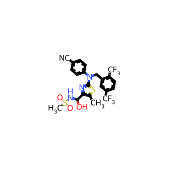 Cc1sc(N(Cc2cc(C(F)(F)F)ccc2C(F)(F)F)c2ccc(C#N)cc2)nc1C(O)NS(C)(=O)=O